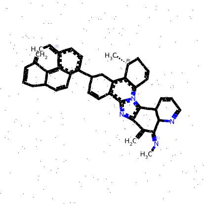 C=C1C=CCC2C=Cc3c(C4C=Cc5c(c6c(n7c8c(nc57)C(=C)/C(=N\C)C5N=CC=CC85)C=CC[C@H]6C)C4)cc/c(=C/C)c3=C12